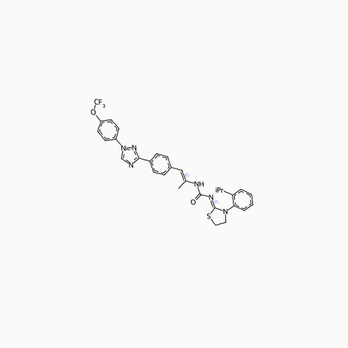 C/C(=C\c1ccc(-c2ncn(-c3ccc(OC(F)(F)F)cc3)n2)cc1)NC(=O)/N=C1\SCCN1c1ccccc1C(C)C